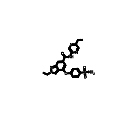 CCc1cnc(NC(=O)c2cc(Oc3ccc(S(N)(=O)=O)cc3)c3cn(CC)nc3c2)cn1